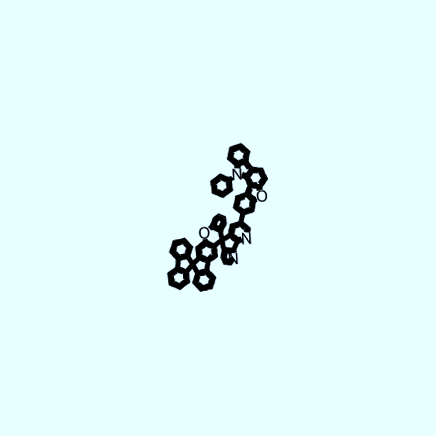 c1ccc(-n2c3ccccc3c3ccc4oc5cc(-c6cnc7c(c6)C6(c8ccccc8Oc8cc9c(cc86)-c6ccccc6C96c8ccccc8-c8ccccc86)c6cccnc6-7)ccc5c4c32)cc1